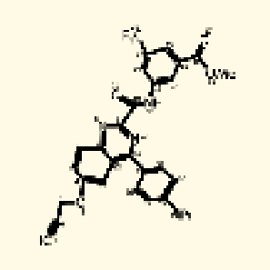 C#CCOc1ccc2nc(C(=O)Nc3cc(C(=O)OC)cc(C(F)(F)F)c3)nc(-c3ccc(C(C)C)cc3)c2c1